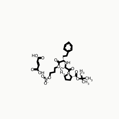 C[C@H](N[C@@H](CCc1ccccc1)C(=O)OCCCO[N+](=O)[O-])C(=O)N1CCC[C@H]1C(=O)OC(C)(C)C.O=C(O)C=CC(=O)O